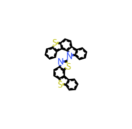 c1ccc2c(c1)sc1ccc3nc(-n4c5ccccc5c5ccc6sc7ccccc7c6c54)sc3c12